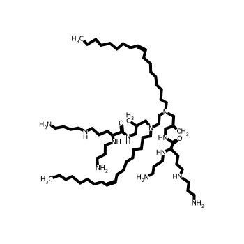 CCCCCCCC/C=C\CCCCCCCCN(CCN(CCCCCCCC/C=C\CCCCCCCC)CC(C)CNC(=O)C(CCCNCCCCN)NCCCN)CC(C)CNC(=O)C(CCCNCCCN)NCCCN